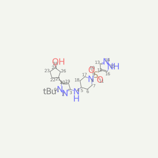 CC(C)(C)n1nc(NC2CCN(S(=O)(=O)c3cn[nH]c3)CC2)cc1[C@H]1CC[C@@H](O)C1